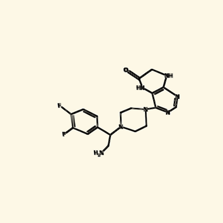 NCC(c1ccc(F)c(F)c1)N1CCN(c2ncnc3c2NC(=O)CN3)CC1